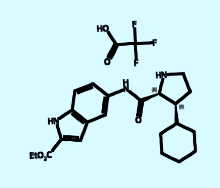 CCOC(=O)c1cc2cc(NC(=O)[C@H]3NCC[C@H]3C3CCCCC3)ccc2[nH]1.O=C(O)C(F)(F)F